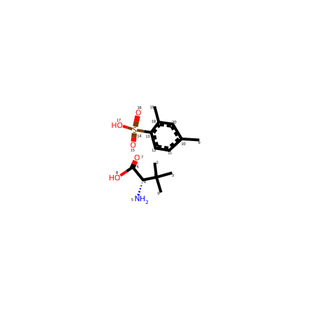 CC(C)(C)[C@H](N)C(=O)O.Cc1ccc(S(=O)(=O)O)c(C)c1